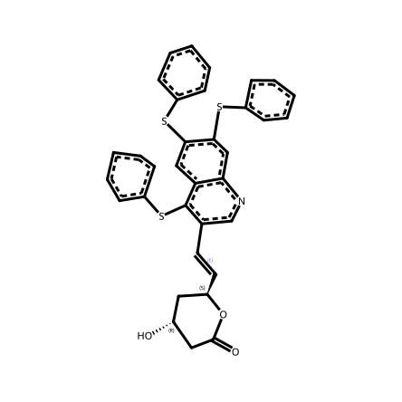 O=C1C[C@H](O)C[C@@H](/C=C/c2cnc3cc(Sc4ccccc4)c(Sc4ccccc4)cc3c2Sc2ccccc2)O1